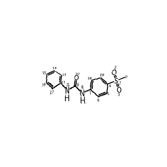 CS(=O)(=O)c1ccc(NC(=O)Nc2ccccc2)cc1